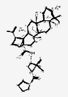 C=C(C)[C@@H]1CC[C@]2(C(=O)N[C@H]3C[C@@H](C(=O)N4CCCC4)C3(C)C)CC[C@]3(C)[C@H](CC[C@@H]4[C@@]5(C)CC[C@H](O)C(C)(C)[C@@H]5CC[C@]43C)[C@@H]12